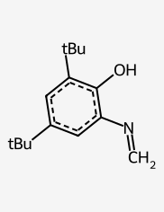 C=Nc1cc(C(C)(C)C)cc(C(C)(C)C)c1O